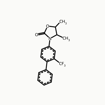 CC1OC(=O)N(c2ccc(-c3ccccc3)c(C(F)(F)F)c2)C1C